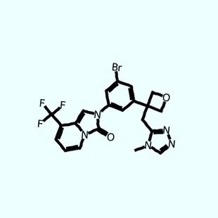 Cn1cnnc1CC1(c2cc(Br)cc(-n3cc4c(C(F)(F)F)cccn4c3=O)c2)COC1